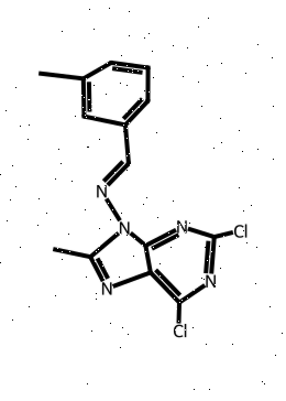 Cc1cccc(C=Nn2c(C)nc3c(Cl)nc(Cl)nc32)c1